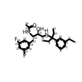 CCc1cccc(C(CC)(CC)NC[C@H](O)[C@H](Cc2cc(F)cc(F)c2)NC(C)=O)c1